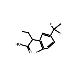 CCC(C(=O)O)c1cc(C(C)(F)F)ccc1F